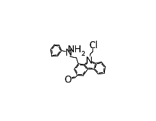 NN(CCc1cc(C=O)cc2c3ccccc3n(CCCl)c12)c1ccccc1